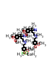 COc1ccc(CCN(C)CCCC(C#N)(c2ccc(OC)c(OC)c2)C(C)C)cc1OC.COc1ccc(CCN(C)CCCC(C#N)(c2ccc(OC)c(OC)c2)C(C)C)cc1OC.Cl.[CaH2]